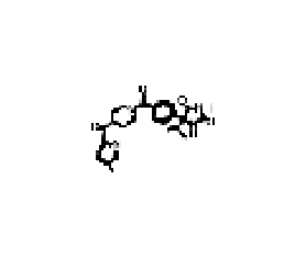 Cc1ccc(C(=O)C2CCN(C(=O)c3ccc(C4(C(C)C)NC(=O)NC4=O)cc3)CC2)nc1